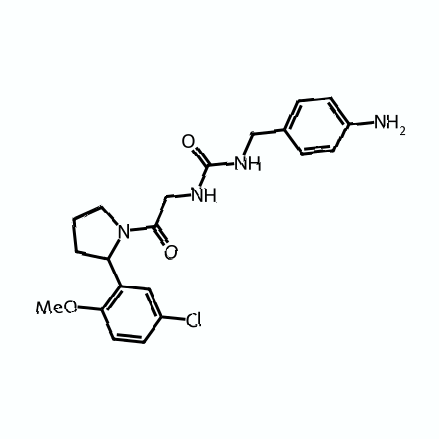 COc1ccc(Cl)cc1C1CCCN1C(=O)CNC(=O)NCc1ccc(N)cc1